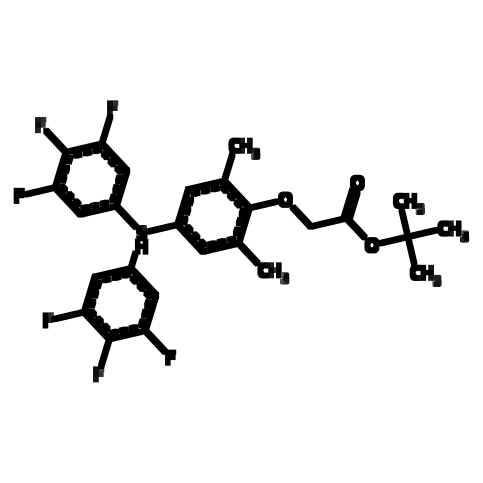 Cc1cc([SH](c2cc(F)c(F)c(F)c2)c2cc(F)c(F)c(F)c2)cc(C)c1OCC(=O)OC(C)(C)C